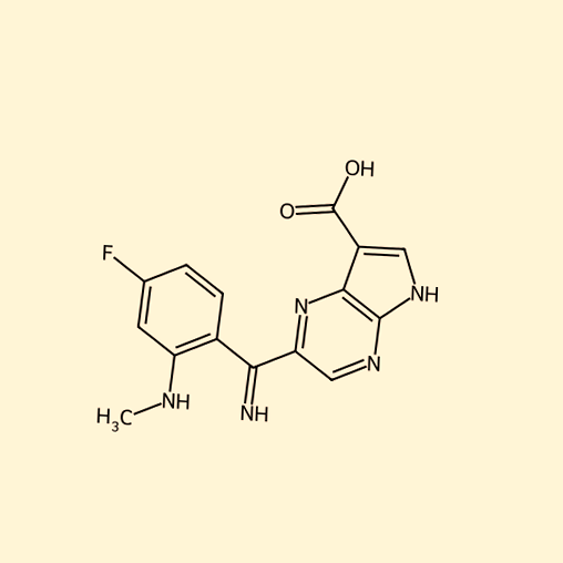 CNc1cc(F)ccc1C(=N)c1cnc2[nH]cc(C(=O)O)c2n1